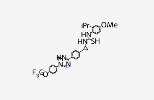 COc1ccc(NC(S)NC2CC2c2ccc(C(=N)/N=C\Nc3ccc(OC(F)(F)F)cc3)cc2)c(C(C)C)c1